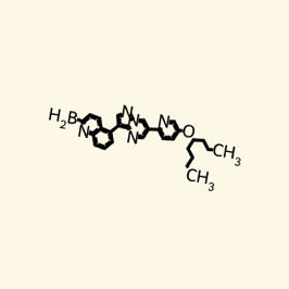 Bc1ccc2c(-c3cnn4cc(-c5ccc(OC(CCC)CCCC)cn5)cnc34)cccc2n1